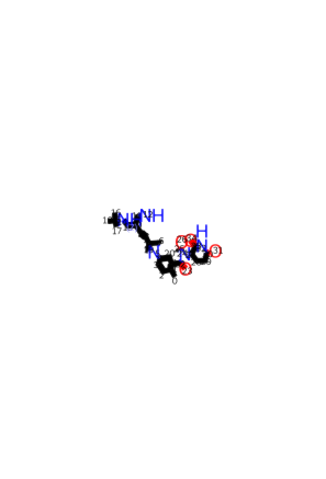 Cc1ccc(N2CC(C#C/C(C=N)=C/NC(C)(C)C)C2)cc1C(=O)N(C=O)C1CCC(=O)NC1=O